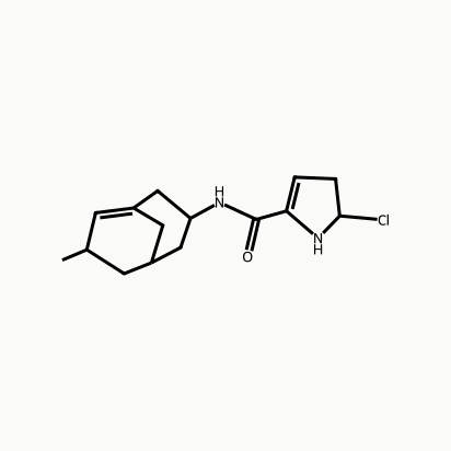 CC1C=C2CC(C1)CC(NC(=O)C1=CCC(Cl)N1)C2